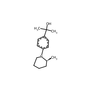 C[C@H]1CCCCN1c1ccc(C(C)(C)O)cc1